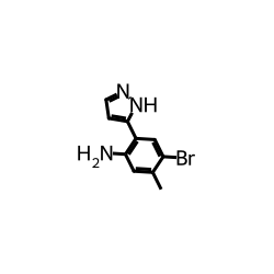 Cc1cc(N)c(-c2ccn[nH]2)cc1Br